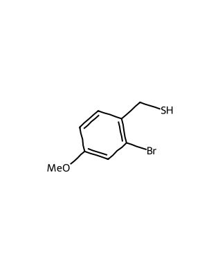 COc1ccc(CS)c(Br)c1